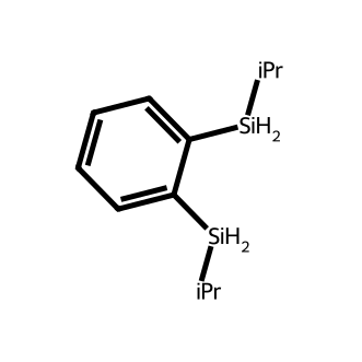 CC(C)[SiH2]c1ccccc1[SiH2]C(C)C